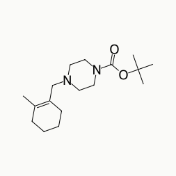 CC1=C(CN2CCN(C(=O)OC(C)(C)C)CC2)CCCC1